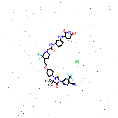 CC1(C)C(=O)N(c2cnc(C#N)c(C(F)(F)F)c2)C(=S)N1[C@H]1CC[C@H](OCCC2CCN(CC(=O)Nc3cccc(NC4CCC(=O)NC4=O)c3)CC2(F)F)CC1.Cl